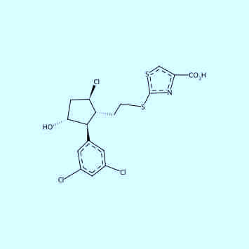 O=C(O)c1csc(SCC[C@@H]2[C@@H](c3cc(Cl)cc(Cl)c3)[C@H](O)C[C@H]2Cl)n1